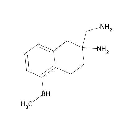 CBc1cccc2c1CCC(N)(CN)C2